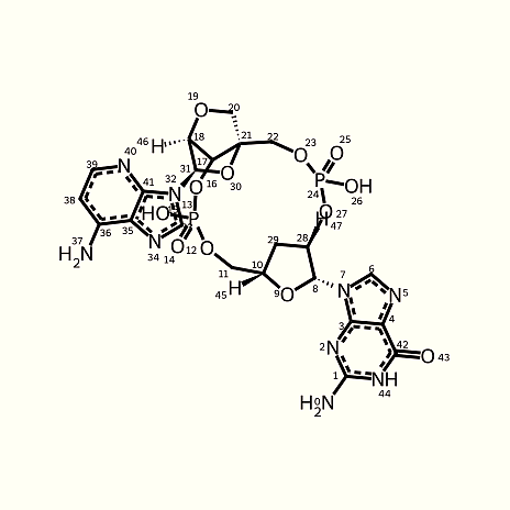 Nc1nc2c(ncn2[C@@H]2O[C@@H]3COP(=O)(O)OC4[C@@H]5OC[C@]4(COP(=O)(O)O[C@H]2C3)O[C@H]5n2cnc3c(N)ccnc32)c(=O)[nH]1